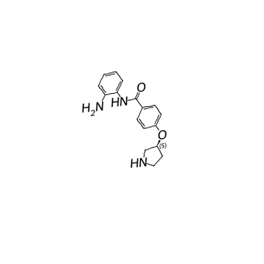 Nc1ccccc1NC(=O)c1ccc(O[C@H]2CCNC2)cc1